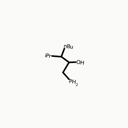 CCCCC(C(C)C)C(O)CP